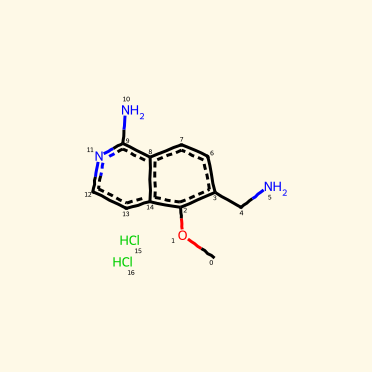 COc1c(CN)ccc2c(N)nccc12.Cl.Cl